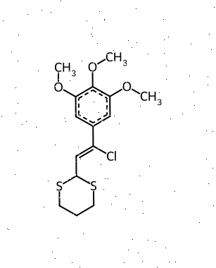 COc1cc(C(Cl)=CC2SCCCS2)cc(OC)c1OC